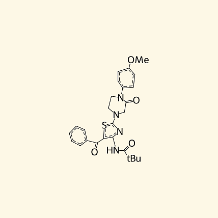 COc1ccc(N2CCN(c3nc(NC(=O)C(C)(C)C)c(C(=O)c4ccccc4)s3)CC2=O)cc1